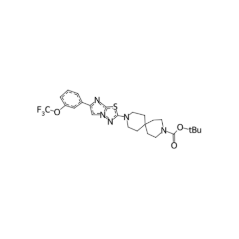 CC(C)(C)OC(=O)N1CCC2(CC1)CCN(c1nn3cc(-c4cccc(OC(F)(F)F)c4)nc3s1)CC2